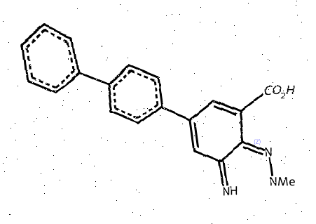 CN/N=C1\C(=N)C=C(c2ccc(-c3ccccc3)cc2)C=C1C(=O)O